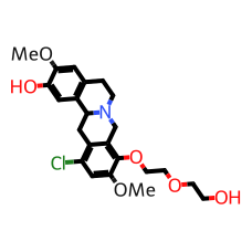 COc1cc2c(cc1O)C1Cc3c(Cl)cc(OC)c(OCCOCCO)c3CN1CC2